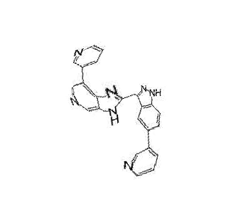 c1cncc(-c2ccc3[nH]nc(-c4nc5c(-c6cccnc6)cncc5[nH]4)c3c2)c1